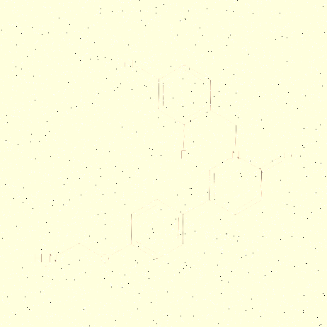 NCOc1ccc(-c2ccc(=O)n(Cc3ccc(Cl)cc3F)c2)cc1